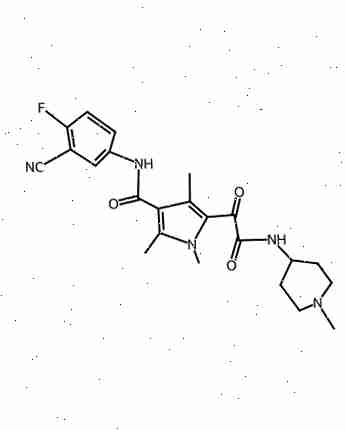 Cc1c(C(=O)Nc2ccc(F)c(C#N)c2)c(C)n(C)c1C(=O)C(=O)NC1CCN(C)CC1